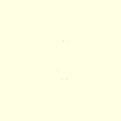 CCCCCCCCOc1ccc(/C=C/C=O)cc1